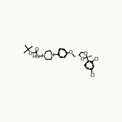 CC(C)(C)OC(=O)NN1CCN(c2ccc(OC[C@@H]3CO[C@](C)(c4ccc(Cl)cc4Cl)O3)cc2)CC1